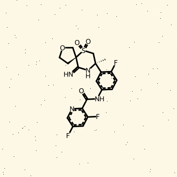 C[C@@]1(c2cc(NC(=O)c3ncc(F)cc3F)ccc2F)CS(=O)(=O)[C@]2(CCOC2)C(=N)N1